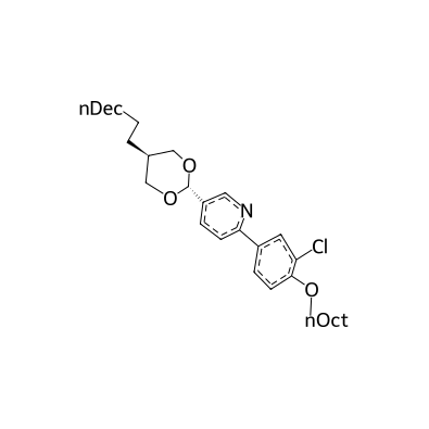 CCCCCCCCCCCC[C@H]1CO[C@H](c2ccc(-c3ccc(OCCCCCCCC)c(Cl)c3)nc2)OC1